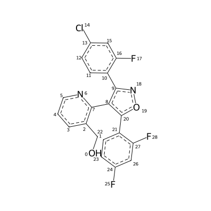 OCc1cccnc1-c1c(-c2ccc(Cl)cc2F)noc1-c1ccc(F)cc1F